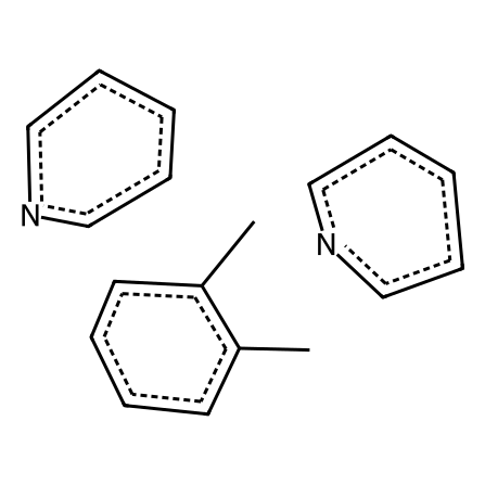 Cc1ccccc1C.c1ccncc1.c1ccncc1